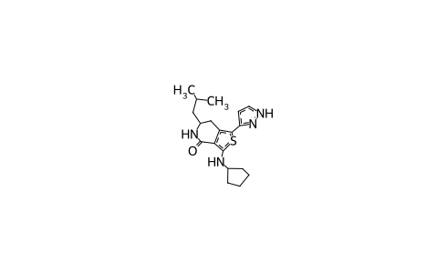 CC(C)CC1Cc2c(-c3cc[nH]n3)sc(NC3CCCC3)c2C(=O)N1